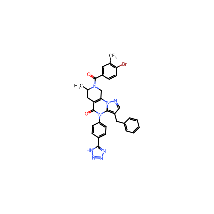 CC1Cc2c(n3ncc(Cc4ccccc4)c3n(-c3ccc(-c4nnn[nH]4)cc3)c2=O)CN1C(=O)c1ccc(Br)c(C(F)(F)F)c1